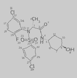 C[C@H](C(=O)N[C@H]1CC[C@H](O)CC1)N(c1cc(Cl)ccc1F)S(=O)(=O)c1ccc(Cl)cc1